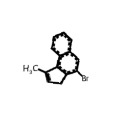 CC1=CCc2c(Br)cc3ccccc3c21